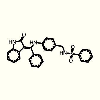 O=C1Nc2ccccc2/C1=C(/Nc1ccc(CNS(=O)(=O)c2ccccc2)cc1)c1ccccc1